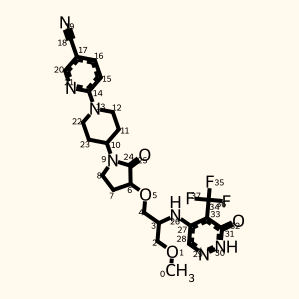 COCC(COC1CCN(C2CCN(c3ccc(C#N)cn3)CC2)C1=O)Nc1cn[nH]c(=O)c1C(F)(F)F